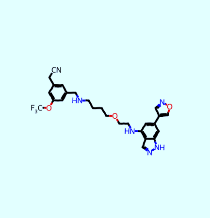 N#CCc1cc(CNCCCCOCCNc2cc(-c3cnoc3)cc3[nH]ncc23)cc(OC(F)(F)F)c1